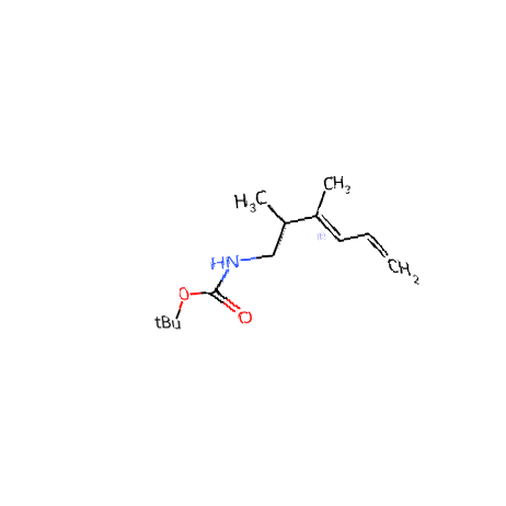 C=C/C=C(\C)C(C)CNC(=O)OC(C)(C)C